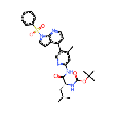 Cc1cc(NC(=O)[C@@H](CC(C)C)NC(=O)OC(C)(C)C)ncc1-c1ccnc2c1ccn2S(=O)(=O)c1ccccc1